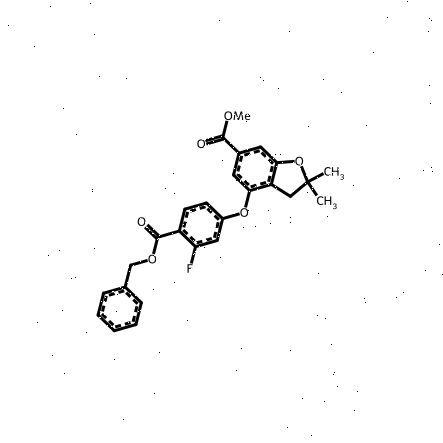 COC(=O)c1cc(Oc2ccc(C(=O)OCc3ccccc3)c(F)c2)c2c(c1)OC(C)(C)C2